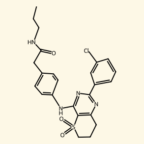 CCCNC(=O)Cc1ccc(Nc2nc(-c3cccc(Cl)c3)nc3c2S(=O)(=O)CCC3)cc1